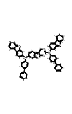 c1ccc(-c2ccc(N(c3ccc4c(c3)oc3ccccc34)c3ccc4c(n3)sc3nc(N(c5ccc(-c6ccccc6)cc5)c5ccc6c(c5)oc5ccccc56)ncc34)cc2)cc1